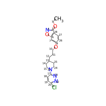 CCOc1noc2cc(OCCCC3CCN(c4ccc(Cl)nn4)CC3)ccc12